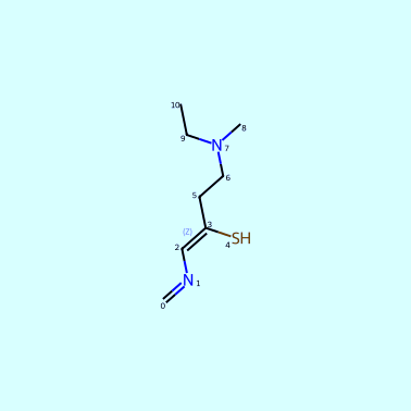 C=N/C=C(\S)CCN(C)CC